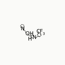 FC(F)(F)c1cccc(CN2C[C@@H]3[C@@H](COCCCN4CCCCC4)[C@@H]3C2)c1